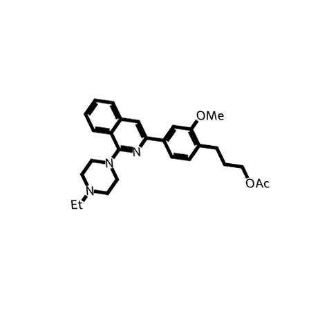 CCN1CCN(c2nc(-c3ccc(CCCOC(C)=O)c(OC)c3)cc3ccccc23)CC1